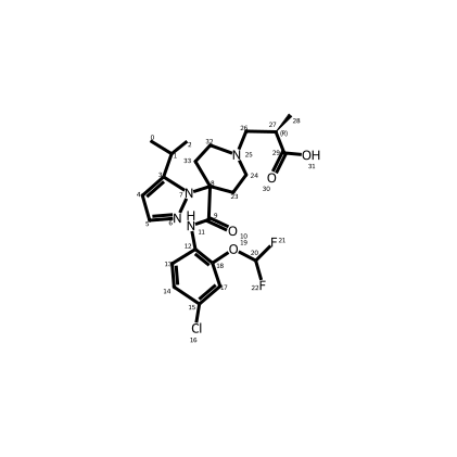 CC(C)c1ccnn1C1(C(=O)Nc2ccc(Cl)cc2OC(F)F)CCN(C[C@@H](C)C(=O)O)CC1